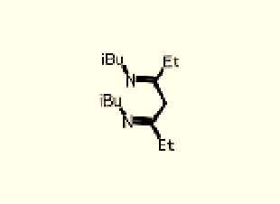 CCC(CC(CC)=NC(C)CC)=NC(C)CC